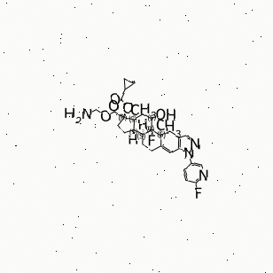 C[C@]12Cc3cnn(-c4ccc(F)nc4)c3C=C1CC[C@H]1[C@@H]3CC[C@](OC(=O)C4CC4)(C(=O)OCN)[C@@]3(C)C[C@H](O)[C@@]12F